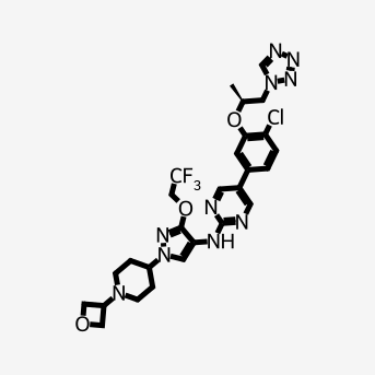 C[C@@H](Cn1cnnn1)Oc1cc(-c2cnc(Nc3cn(C4CCN(C5COC5)CC4)nc3OCC(F)(F)F)nc2)ccc1Cl